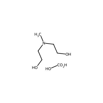 CN(CCO)CCO.O=C(O)O